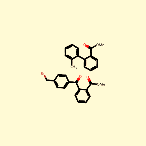 COC(=O)c1ccccc1-c1ccccc1C.COC(=O)c1ccccc1C(=O)c1ccc(CBr)cc1